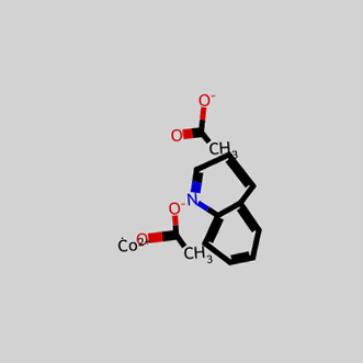 CC(=O)[O-].CC(=O)[O-].[Co+2].c1ccc2ncccc2c1